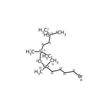 C[SiH](C)CC[Si](C)(C)O[Si](C)(C)CCCCBr